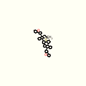 C=C/C=C\c1c(C)c(-c2cccc3c2sc2cccc(-c4c5ccccc5c(-c5ccc6oc7ccccc7c6c5)c5ccccc45)c23)c2ccccc2c1-c1ccc2oc3ccccc3c2c1